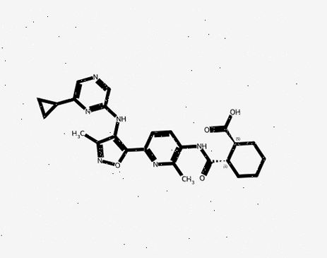 Cc1nc(-c2onc(C)c2Nc2cncc(C3CC3)n2)ccc1NC(=O)[C@H]1CCCC[C@@H]1C(=O)O